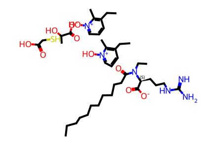 CC(O)C(=O)[O-].CCCCCCCCCCCC(=O)N(CC)[C@@H](CCCNC(=N)N)C(=O)[O-].CCc1ccc[n+](O)c1C.CCc1ccc[n+](O)c1C.O=C(O)CS